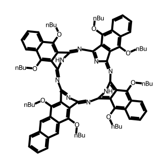 CCCCOc1c2c(c(OCCCC)c3ccccc13)-c1nc-2nc2[nH]c(nc3nc(nc4[nH]c(n1)c1c(OCCCC)c5ccccc5c(OCCCC)c41)-c1c-3c(OCCCC)c3cc4ccccc4cc3c1OCCCC)c1c(OCCCC)c3ccccc3c(OCCCC)c21